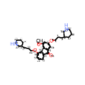 COc1cc(OCCCC2CCCNC2)cc2c1-c1c(OCCCC3CCCNC3)cccc1C2=O